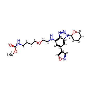 CC(C)(C)OC(=O)NCCCCOCCNc1cc(-c2cnoc2)cc2c1nnn2C1CCCCO1